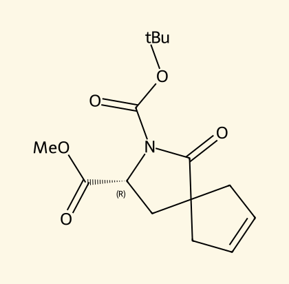 COC(=O)[C@H]1CC2(CC=CC2)C(=O)N1C(=O)OC(C)(C)C